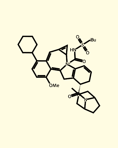 CCC(C)S(=O)(=O)NC(=O)[N+]12C3=C(CC1=c1c(OC)ccc(C4CCCCC4)c1=CC1=CC12)[C@@H](C(=O)N1C2CCC1CN(C)C2)CC=C3